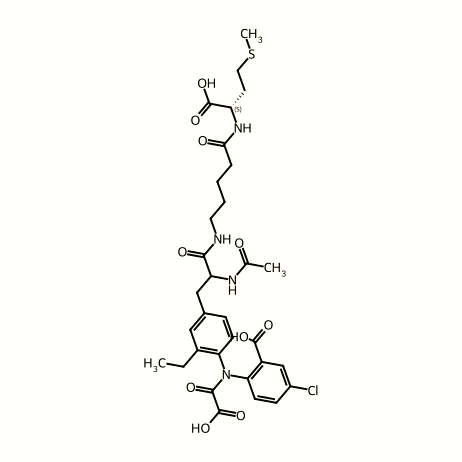 CCc1cc(CC(NC(C)=O)C(=O)NCCCCC(=O)N[C@@H](CCSC)C(=O)O)ccc1N(C(=O)C(=O)O)c1ccc(Cl)cc1C(=O)O